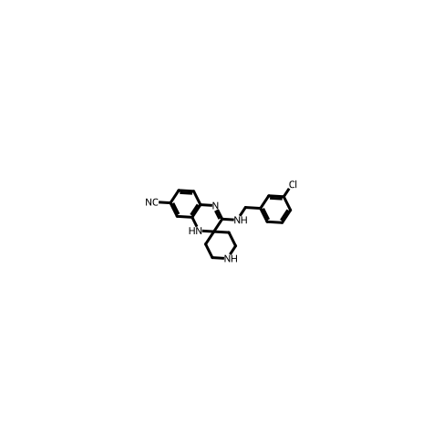 N#Cc1ccc2c(c1)NC1(CCNCC1)C(NCc1cccc(Cl)c1)=N2